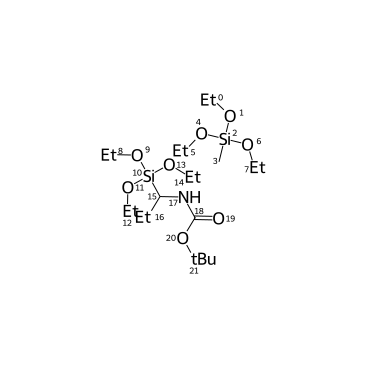 CCO[Si](C)(OCC)OCC.CCO[Si](OCC)(OCC)C(CC)NC(=O)OC(C)(C)C